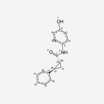 O=C(Nc1ccc(O)cn1)[C@@H]1C[C@H]1c1ccccc1